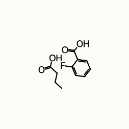 CCCC(=O)O.O=C(O)c1ccccc1F